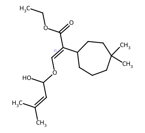 CCOC(=O)/C(=C/OC(O)C=C(C)C)C1CCCC(C)(C)CC1